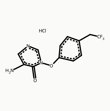 Cl.Nc1cncn(Oc2ccc(CC(F)(F)F)cc2)c1=O